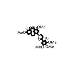 COc1cc(N/C=C\C(=O)c2cc(OC)c(OC)c(OC)c2Br)c(/C=C\c2cc(OC)c(OC)c(OC)c2)cc1Cl